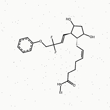 CCNC(=O)CCC/C=C\C[C@H]1C(O)CC(O)[C@@H]1/C=C/C(F)(F)COc1ccccc1